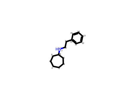 [CH]1CCCCCC1NCCc1ccccc1